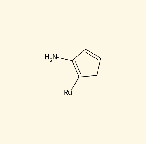 NC1=[C]([Ru])CC=C1